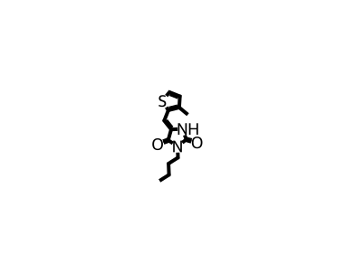 CCCCN1C(=O)NC(=Cc2sccc2C)C1=O